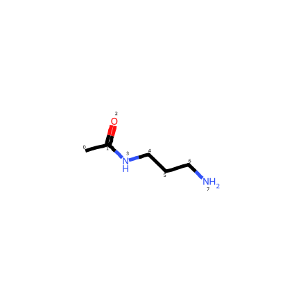 CC(=O)NCC[CH]N